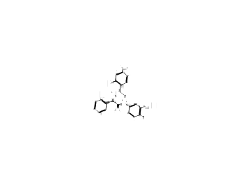 Cc1ccc(N(CCc2ccc(Cl)cc2F)C(=O)[C@@H](N)c2ccccc2)cc1C